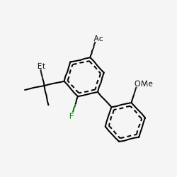 CCC(C)(C)c1cc(C(C)=O)cc(-c2ccccc2OC)c1F